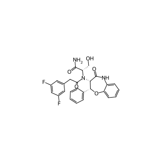 NC(=O)[C@H](CO)N(C(=O)Cc1cc(F)cc(F)c1)[C@@H]1C(=O)Nc2ccccc2O[C@@H]1c1ccccc1